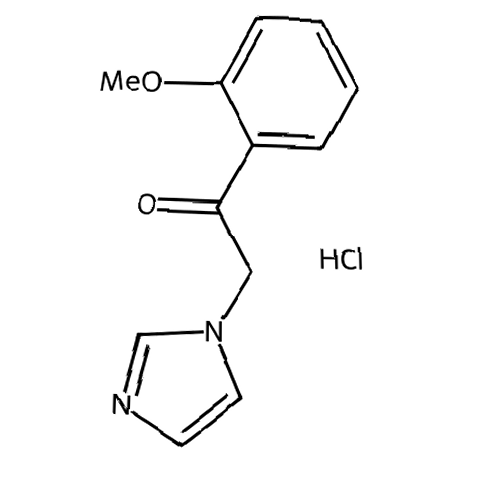 COc1ccccc1C(=O)Cn1ccnc1.Cl